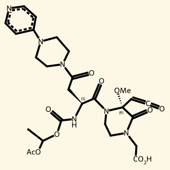 CO[C@]1(C=C=O)C(=O)N(CC(=O)O)CCN1C(=O)[C@H](CC(=O)N1CCN(c2ccncc2)CC1)NC(=O)OC(C)OC(C)=O